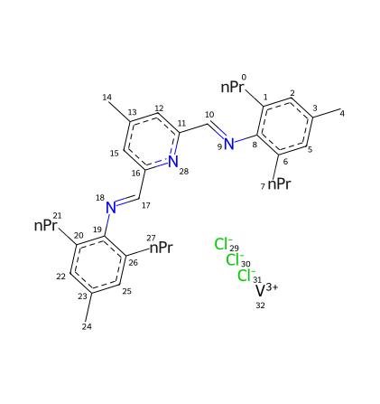 CCCc1cc(C)cc(CCC)c1N=Cc1cc(C)cc(C=Nc2c(CCC)cc(C)cc2CCC)n1.[Cl-].[Cl-].[Cl-].[V+3]